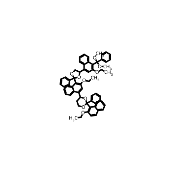 CCOc1ccc2ccccc2c1C1(c2ccccc2)OCCC(c2cc(OCC)c(C3(c4ccccc4)OCC(c4cc(OCC)c(C(OC)(OC)c5ccccc5)c5ccccc45)O3)c3ccccc23)O1